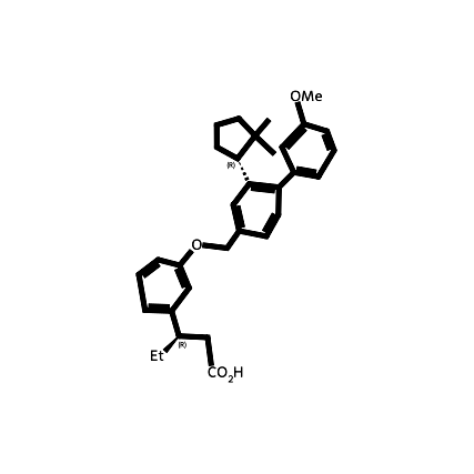 CC[C@H](CC(=O)O)c1cccc(OCc2ccc(-c3cccc(OC)c3)c([C@@H]3CCCC3(C)C)c2)c1